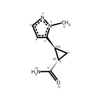 Cn1nccc1[C@H]1C[C@@H]1C(N)=O